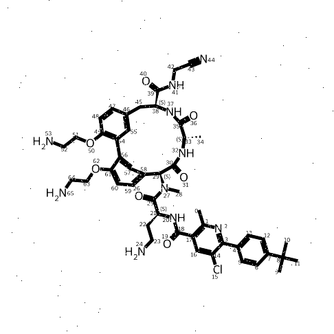 Cc1nc(-c2ccc(C(C)(C)C)cc2)c(Cl)cc1C(=O)N[C@@H](CCN)C(=O)N(C)[C@@H]1C(=O)N[C@@H](C)C(=O)N[C@H](C(=O)NCC#N)Cc2ccc(OCCN)c(c2)-c2cc1ccc2OCCN